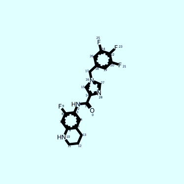 O=C(Nc1cc2c(cc1F)NCCC2)c1cn(Cc2cc(F)c(F)c(F)c2)cn1